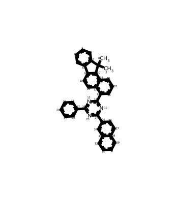 CC1(C)c2ccccc2-c2ccc3c(-c4nc(-c5ccccc5)nc(-c5ccc6ccccc6c5)n4)cccc3c21